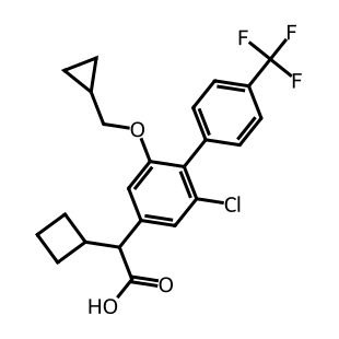 O=C(O)C(c1cc(Cl)c(-c2ccc(C(F)(F)F)cc2)c(OCC2CC2)c1)C1CCC1